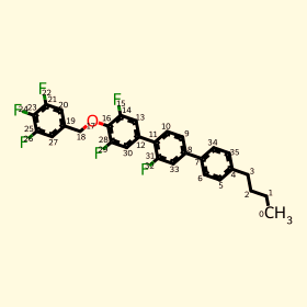 CCCCc1ccc(-c2ccc(-c3cc(F)c(OCc4cc(F)c(F)c(F)c4)c(F)c3)c(F)c2)cc1